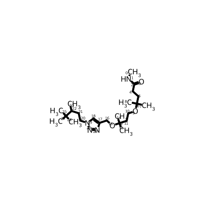 CNC(=O)CCC(C)(C)OCCC(C)(C)OCc1cn(CCC(C)C(C)(C)C)nn1